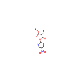 CCOC(=O)C(CC)C(=O)Oc1ccc([N+](=O)[O-])cn1